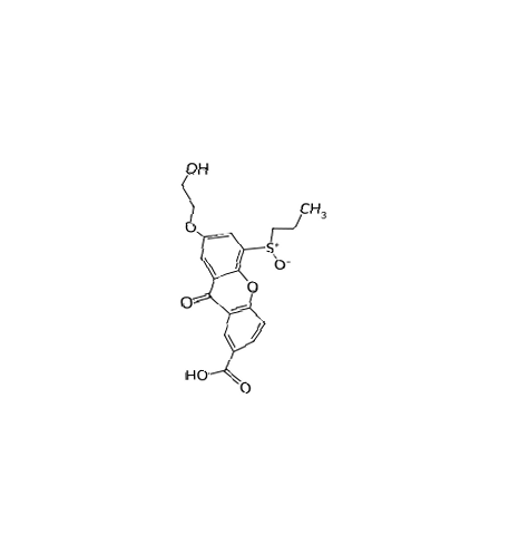 CCC[S+]([O-])c1cc(OCCO)cc2c(=O)c3cc(C(=O)O)ccc3oc12